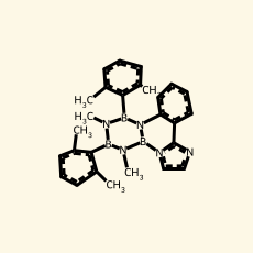 Cc1cccc(C)c1B1N(C)B(c2c(C)cccc2C)N2B(N1C)n1ccnc1-c1ccccc12